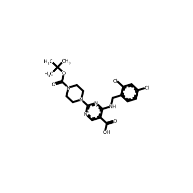 CC(C)(C)OC(=O)N1CCN(c2ncc(C(=O)O)c(NCc3ccc(Cl)cc3Cl)n2)CC1